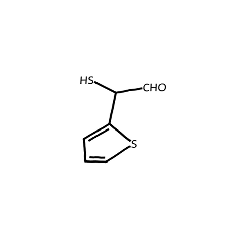 O=CC(S)c1cccs1